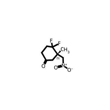 C[C@@]1(C[N+](=O)[O-])CC(=O)CCC1(F)F